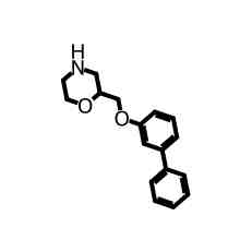 c1ccc(-c2cccc(OCC3CNCCO3)c2)cc1